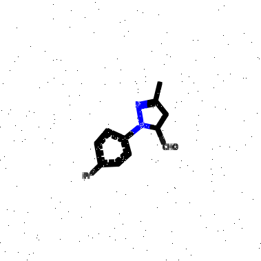 CC1=NN(c2ccc(C(C)C)cc2)C(C=O)C1